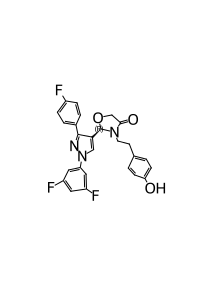 O=C1CO[C@H](c2cn(-c3cc(F)cc(F)c3)nc2-c2ccc(F)cc2)N1CCc1ccc(O)cc1